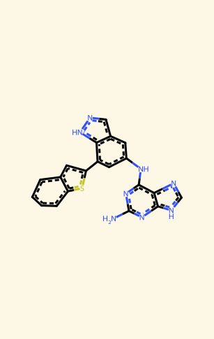 Nc1nc(Nc2cc(-c3cc4ccccc4s3)c3[nH]ncc3c2)c2nc[nH]c2n1